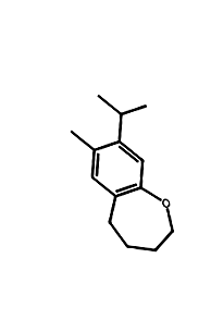 Cc1cc2c(cc1C(C)C)OCCCC2